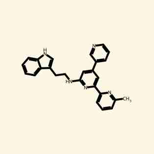 Cc1cccc(-c2cc(-c3cccnc3)cc(NCCc3c[nH]c4ccccc34)n2)n1